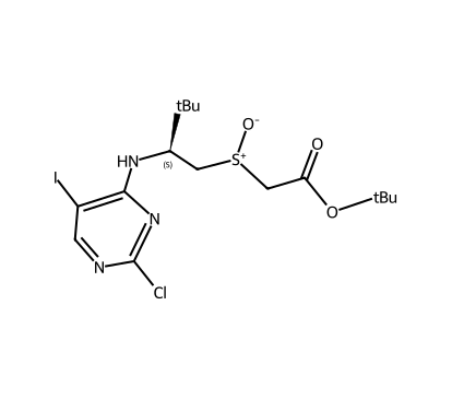 CC(C)(C)OC(=O)C[S+]([O-])C[C@@H](Nc1nc(Cl)ncc1I)C(C)(C)C